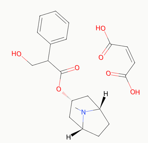 CN1[C@@H]2CC[C@H]1C[C@@H](OC(=O)C(CO)c1ccccc1)C2.O=C(O)/C=C\C(=O)O